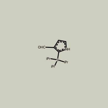 CC(C)[Si](c1[nH]ccc1C=O)(C(C)C)C(C)C